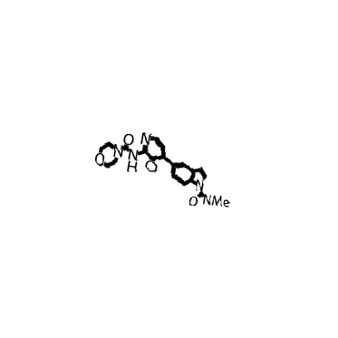 CNC(=O)n1ccc2cc(C3C=CN=C(NC(=O)N4CCOCC4)C3=O)ccc21